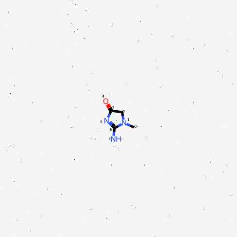 CN1CC(=O)N=C1[NH]